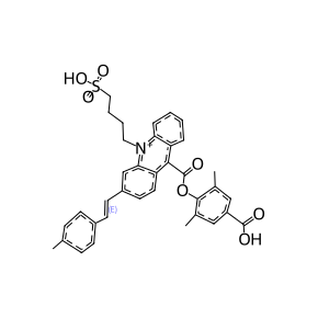 Cc1ccc(/C=C/c2ccc3c(C(=O)Oc4c(C)cc(C(=O)O)cc4C)c4ccccc4[n+](CCCCS(=O)(=O)O)c3c2)cc1